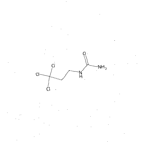 NC(=O)NCCC(Cl)(Cl)Cl